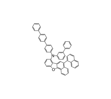 c1ccc(-c2ccc(-c3ccc(N(c4cccc(-c5ccccc5)c4)c4cccc5oc6c7ccccc7c(-c7cccc8ccccc78)cc6c45)cc3)cc2)cc1